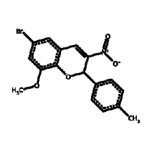 COc1cc(Br)cc2c1OC(c1ccc(C)cc1)C([N+](=O)[O-])=C2